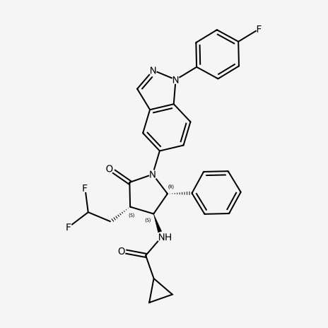 O=C(N[C@H]1[C@H](CC(F)F)C(=O)N(c2ccc3c(cnn3-c3ccc(F)cc3)c2)[C@@H]1c1ccccc1)C1CC1